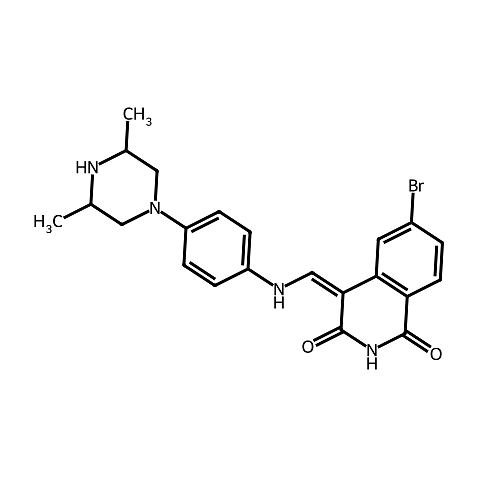 CC1CN(c2ccc(N/C=C3\C(=O)NC(=O)c4ccc(Br)cc43)cc2)CC(C)N1